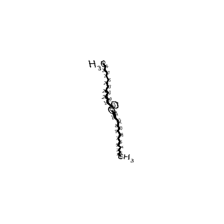 CCCCCCCCCCCCCC=COC(=O)CCCCCCCCCCCCC